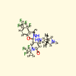 C[C@@H](NC(=O)c1cn(C2(C(F)(F)F)CC2)c(=O)cc1N[C@@H]1[C@@H]2CN(C)C[C@@H]21)c1cccc(C(F)(F)F)c1F